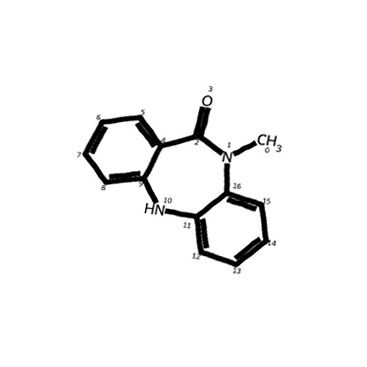 CN1C(=O)c2ccccc2Nc2ccccc21